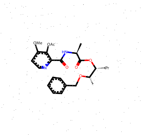 COc1ccnc(C(=O)N[C@@H](C)C(=O)O[C@H](C(C)C)[C@H](C)OCc2ccccc2)c1OC(C)=O